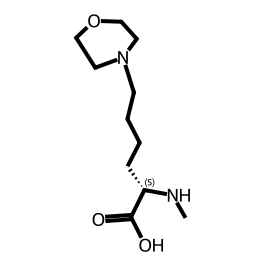 CN[C@@H](CCCCN1CCOCC1)C(=O)O